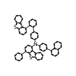 c1ccc(-c2ccc(N(c3ccc(-c4ccccc4-c4cccc5sc6ccccc6c45)cc3)c3ccc(-c4cccc5ccccc45)cc3)c3c2sc2ccccc23)cc1